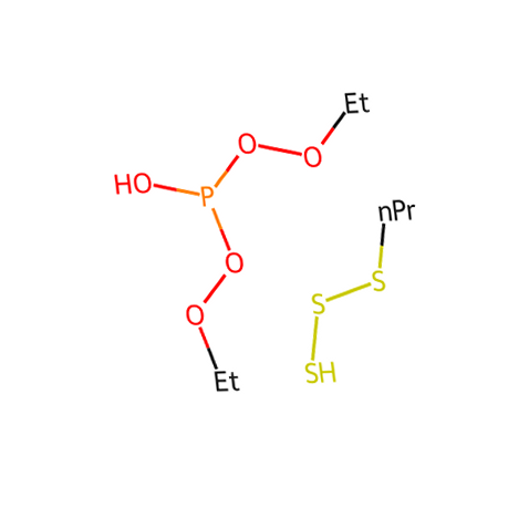 CCCSSS.CCOOP(O)OOCC